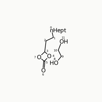 CCCCCCCCCC1OC(=O)O1.OCCO